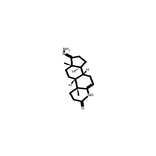 C[C@]12CCC(=O)NC1=CC[C@@H]1[C@H]2CC[C@]2(C)C(=NN)CC[C@@H]12